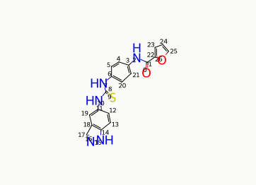 O=C(Nc1ccc(NC(=S)Nc2ccc3[nH]ncc3c2)cc1)c1ccco1